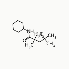 CC(C)(C)CC(C)(C)C(=O)NC1CCCCC1